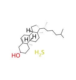 CC(C)CCC[C@@H](C)[C@H]1CC[C@H]2[C@@H]3CC=C4C[C@@H](O)CC[C@]4(C)[C@H]3CC[C@]12C.S